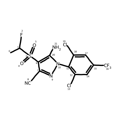 CC(F)S(=O)(=O)c1c(C#N)nn(-c2c(Cl)cc(C(F)(F)F)cc2Cl)c1N